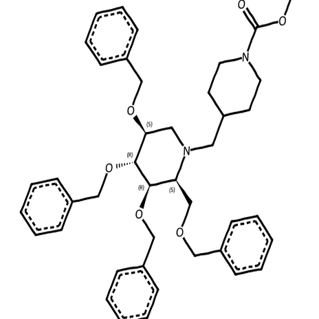 CC(C)(C)OC(=O)N1CCC(CN2C[C@H](OCc3ccccc3)[C@@H](OCc3ccccc3)[C@H](OCc3ccccc3)[C@@H]2COCc2ccccc2)CC1